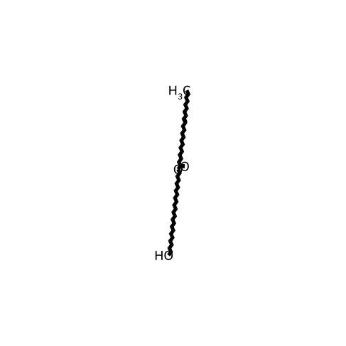 CCCCCCCCC=CCCCCCCCCCCCC(=O)OCCCCCCCCCCCCCCCCCCCCCCCO